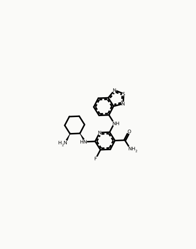 NC(=O)c1cc(F)c(N[C@@H]2CCCC[C@@H]2N)nc1Nc1cccc2nsnc12